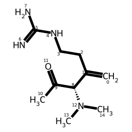 C=C(CCNC(=N)N)[C@@H](C(C)=O)N(C)C